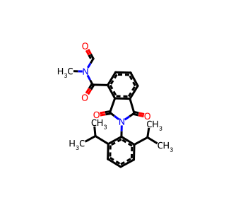 CC(C)c1cccc(C(C)C)c1N1C(=O)c2cccc(C(=O)N(C)C=O)c2C1=O